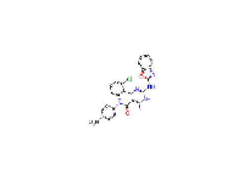 CC1=C(C(=O)Nc2ccc([N+](=O)[O-])cc2)C(c2ccccc2Cl)N=C(Nc2nc3ccccc3o2)N1